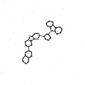 c1cc(-c2ncc3oc4ccc(-c5ccc6ccccc6c5)cc4c3n2)cc(-n2c3ccccc3c3ccccc32)c1